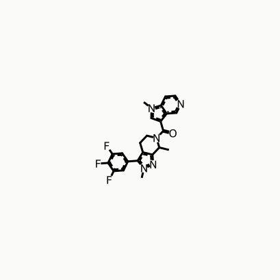 CC1c2nn(C)c(-c3cc(F)c(F)c(F)c3)c2CCN1C(=O)c1cn(C)c2ccncc12